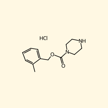 Cc1ccccc1COC(=O)N1CCNCC1.Cl